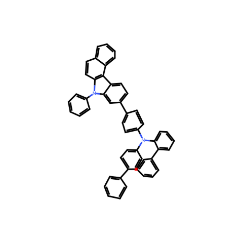 c1ccc(-c2ccc(N(c3ccc(-c4ccc5c6c7ccccc7ccc6n(-c6ccccc6)c5c4)cc3)c3ccccc3-c3ccccc3)cc2)cc1